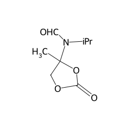 CC(C)N(C=O)C1(C)COC(=O)O1